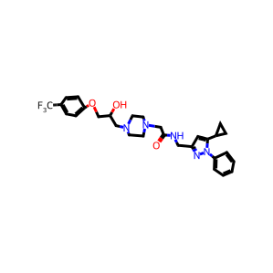 O=C(CN1CCN(CC(O)COc2ccc(C(F)(F)F)cc2)CC1)NCc1cc(C2CC2)n(-c2ccccc2)n1